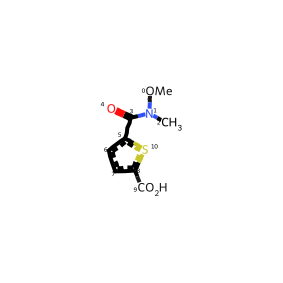 CON(C)C(=O)c1ccc(C(=O)O)s1